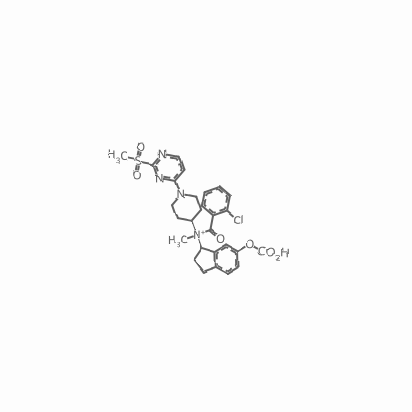 C[N+](C(=O)c1ccccc1Cl)(C1CCN(c2ccnc(S(C)(=O)=O)n2)CC1)C1CCc2ccc(OC(=O)O)cc21